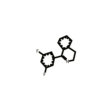 Fc1cc(F)cc(C2=NCCc3ccccc32)c1